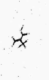 O=C(OF)C(=C(F)F)C(F)(F)F